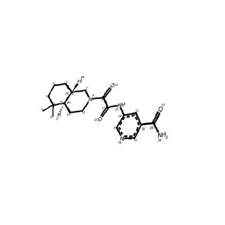 CC1(C)CCC[C@@H]2CN(C(=O)C(=O)Nc3cncc(C(N)=O)c3)CC[C@H]21